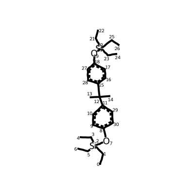 CC[Si](CC)(CC)Oc1ccc(C(C)(C)c2ccc(O[Si](CC)(CC)CC)cc2)cc1